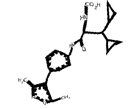 Cc1noc(C)c1-c1ccc(NC(=O)C(NC(=O)O)C(C2CC2)C2CC2)cc1